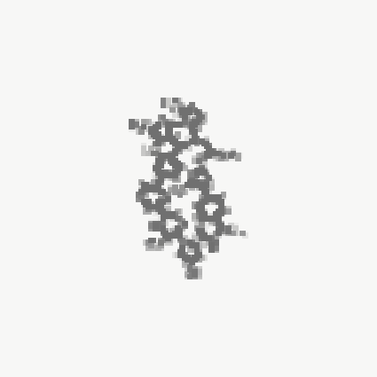 COC(=O)C[C@@H]1N=C(c2ccc(-c3cncc(C(=O)N[C@H](C(=O)N4C[C@H](O)C[C@H]4C(=O)N[C@@H](C)c4ccc(-c5scnc5C)cc4)C(C)(C)C)n3)cc2)c2c(sc(C)c2C)-n2c(C)nnc21